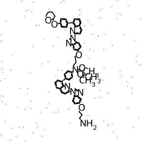 CC(C)(C)OC(=O)N(CCCOc1ccc2c(c1)ncn2-c1ccc2cccc(-c3ccc(OC4CCCCO4)cc3)c2n1)c1ccc(-c2cccc3ccc(-n4cnc5cc(OCCCN)ccc54)nc23)cc1